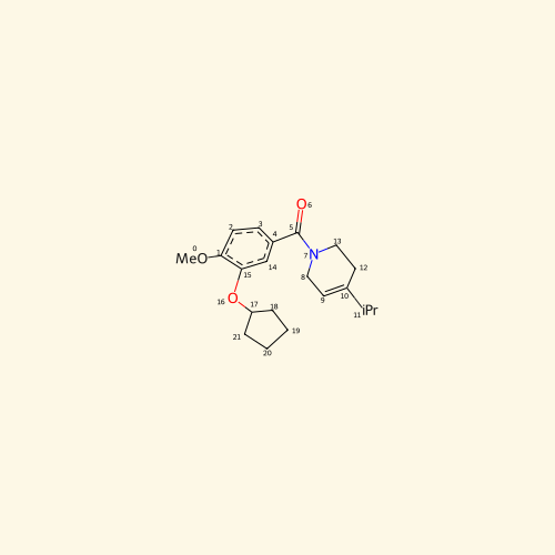 COc1ccc(C(=O)N2CC=C(C(C)C)CC2)cc1OC1CCCC1